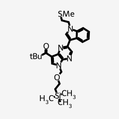 CSCCn1cc(-c2cnc3c(n2)c(C(=O)C(C)(C)C)cn3COCC[Si](C)(C)C)c2ccccc21